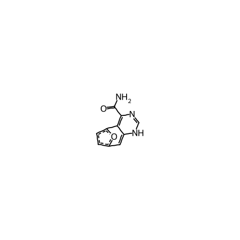 NC(=O)C1=C2C(=Cc3ccc2o3)NC=N1